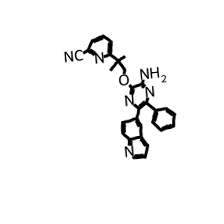 CC(C)(COc1nc(-c2ccc3ncccc3c2)c(-c2ccccc2)nc1N)c1cccc(C#N)n1